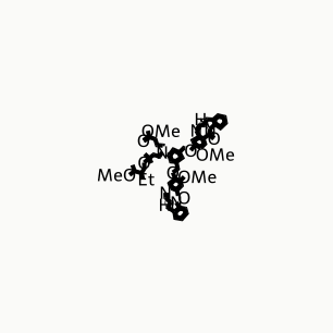 CCC(COC(C)(C)CCN(CCCC(=O)OC)c1cc(COc2cc3c(cc2OC)C(=O)N2c4ccccc4C[C@H]2C=N3)cc(COc2cc3c(cc2OC)C(=O)N2c4ccccc4C[C@H]2C=N3)c1)C(C)OC